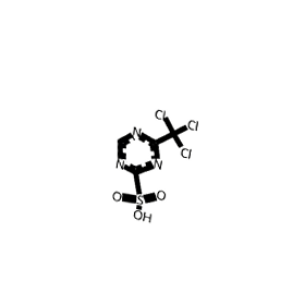 O=S(=O)(O)c1ncnc(C(Cl)(Cl)Cl)n1